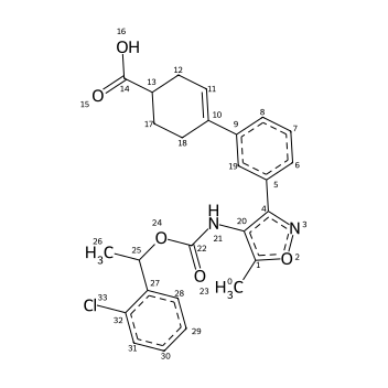 Cc1onc(-c2cccc(C3=CCC(C(=O)O)CC3)c2)c1NC(=O)OC(C)c1ccccc1Cl